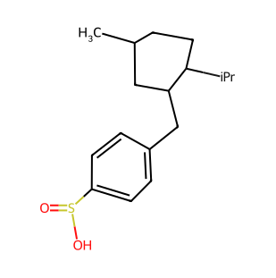 CC1CCC(C(C)C)C(Cc2ccc(S(=O)O)cc2)C1